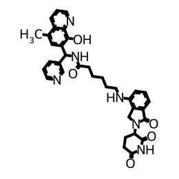 Cc1cc(C(NC(=O)CCCCCNc2cccc3c2CN(C2CCC(=O)NC2=O)C3=O)c2cccnc2)c(O)c2ncccc12